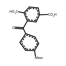 CCCCCCCCCc1ccc(C(=O)c2cc(C(=O)O)ccc2C(=O)O)cc1